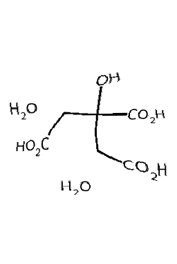 O.O.O=C(O)CC(O)(CC(=O)O)C(=O)O